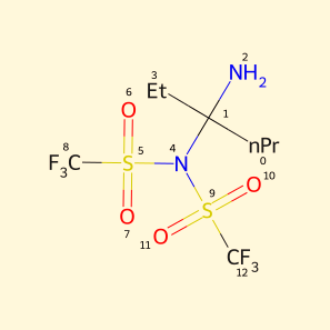 CCCC(N)(CC)N(S(=O)(=O)C(F)(F)F)S(=O)(=O)C(F)(F)F